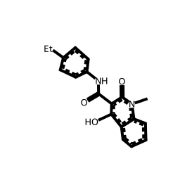 CCc1ccc(NC(=O)c2c(O)c3ccccc3n(C)c2=O)cc1